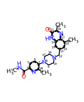 CNC(=O)c1ccc(N2CCN(Cc3cc(C)c4nc(C)c(=O)[nH]c4c3)CC2)c(C)n1